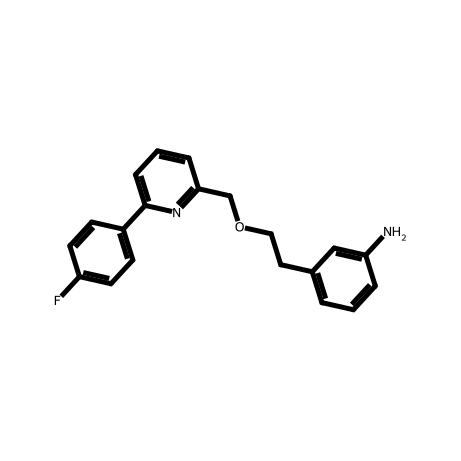 Nc1cccc(CCOCc2cccc(-c3ccc(F)cc3)n2)c1